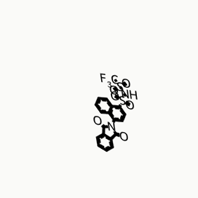 O=C1c2ccccc2C(=O)N1c1ccc(S(=O)(=O)NS(=O)(=O)C(F)(F)F)c2ccccc12